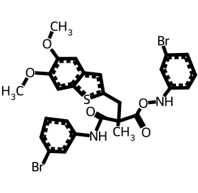 COc1cc2cc(CC(C)(C(=O)Nc3cccc(Br)c3)C(=O)ONc3cccc(Br)c3)sc2cc1OC